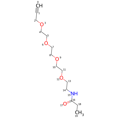 C#CCOCCOCCOCCOCCNC(=O)CC